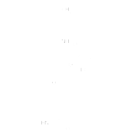 C=CCNCC(COc1cccc2c1CC(=O)N2)OC(=O)C1(C)CCCCC1